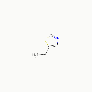 BCc1cncs1